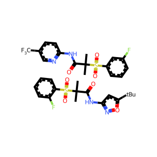 CC(C)(C(=O)Nc1ccc(C(F)(F)F)cn1)S(=O)(=O)c1cccc(F)c1.CC(C)(C)c1cc(NC(=O)C(C)(C)S(=O)(=O)c2ccccc2F)no1